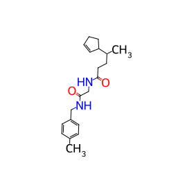 Cc1ccc(CNC(=O)CNC(=O)CCC(C)C2C=CCC2)cc1